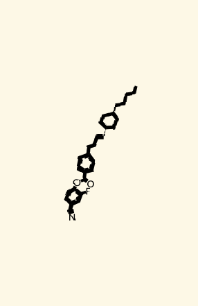 CCCCC[C@H]1CC[C@H](/C=C/CCc2ccc(C(=O)Oc3ccc(C#N)cc3F)cc2)CC1